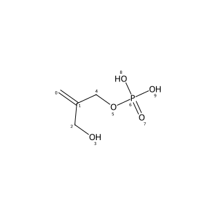 C=C(CO)COP(=O)(O)O